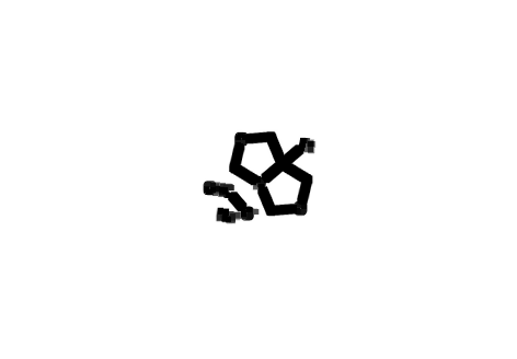 CCC12COCN1COC2.O=C[O-].[Na+]